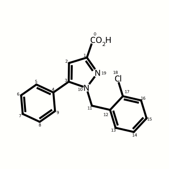 O=C(O)c1cc(-c2ccccc2)n(Cc2ccccc2Cl)n1